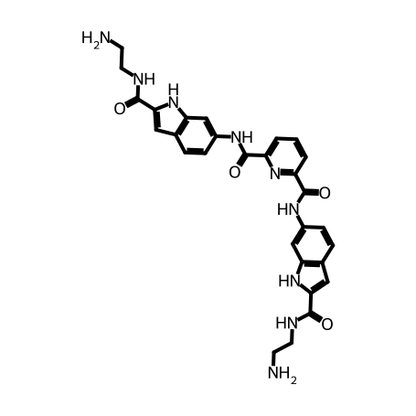 NCCNC(=O)c1cc2ccc(NC(=O)c3cccc(C(=O)Nc4ccc5cc(C(=O)NCCN)[nH]c5c4)n3)cc2[nH]1